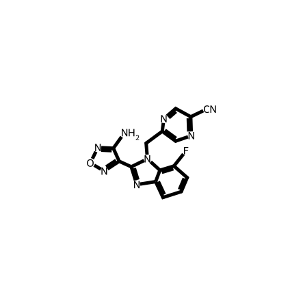 N#Cc1cnc(Cn2c(-c3nonc3N)nc3cccc(F)c32)cn1